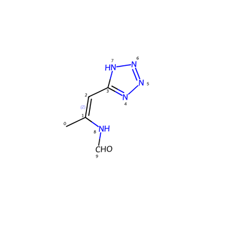 C/C(=C/c1nnn[nH]1)NC=O